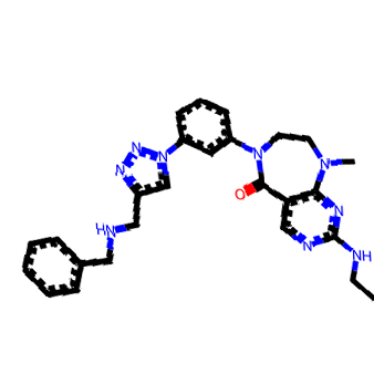 CCNc1ncc2c(n1)N(C)CCN(c1cccc(-n3cc(CNCc4ccccc4)nn3)c1)C2=O